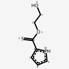 OCCOC(=S)c1ccc[pH]1